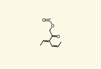 C/C=C\C(=C/C)C(=O)COC=O